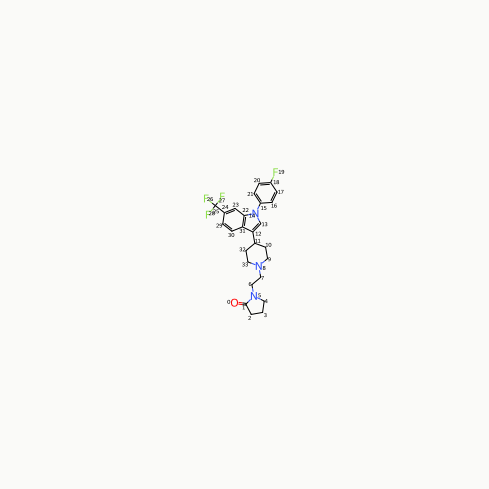 O=C1CCCN1CCN1CCC(c2cn(-c3ccc(F)cc3)c3cc(C(F)(F)F)ccc23)CC1